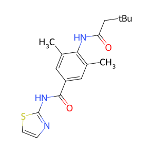 Cc1cc(C(=O)Nc2nccs2)cc(C)c1NC(=O)CC(C)(C)C